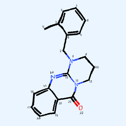 Cc1ccccc1CN1CCCn2c1nc1ccccc1c2=O